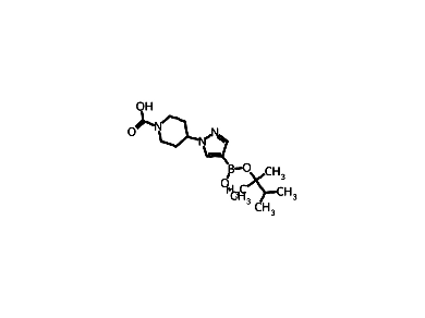 COB(OC(C)(C)C(C)C)c1cnn(C2CCN(C(=O)O)CC2)c1